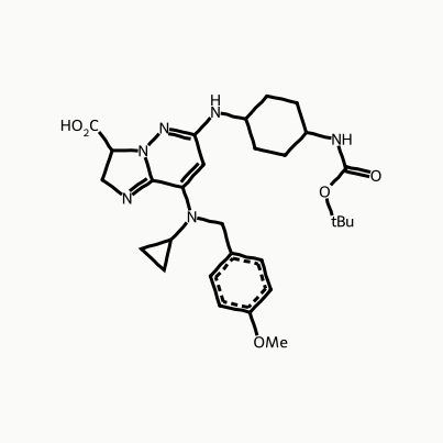 COc1ccc(CN(C2=CC(NC3CCC(NC(=O)OC(C)(C)C)CC3)=NN3C2=NCC3C(=O)O)C2CC2)cc1